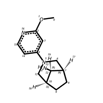 COc1cc(N2C[C@H]3CC[C@@H](C2)[C@H]3N)ccn1